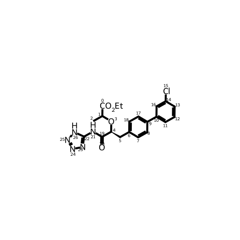 CCOC(=O)C(C)O[C@@H](Cc1ccc(-c2cccc(Cl)c2)cc1)C(=O)Nc1nnn[nH]1